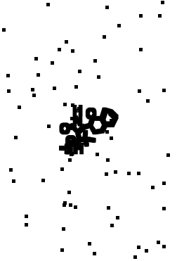 C[SiH](C)O[C@](C)([C@H]1C(=O)N[C@@H]1[C@@H]1CCc2ccccc2C1=O)C(C)(C)C